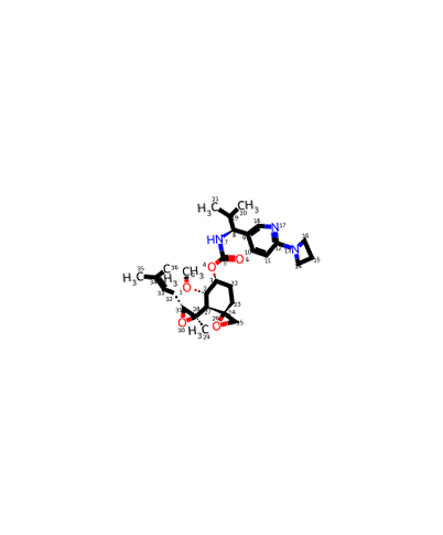 CO[C@@H]1[C@H](OC(=O)N[C@H](c2ccc(N3CCC3)nc2)C(C)C)CC[C@]2(CO2)[C@H]1[C@@]1(C)O[C@@H]1CC=C(C)C